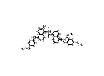 COc1ccc(Nc2nccc3c(NC(=O)c4cccc5c(NCc6ccc(OC)cc6OC)ncnc45)c(C)ccc23)cc1